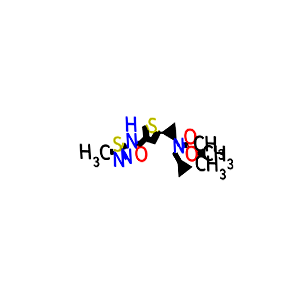 Cc1nnc(NC(=O)c2csc([C@@H]3C[C@H]3N(CC3CC3)C(=O)OC(C)(C)C)c2)s1